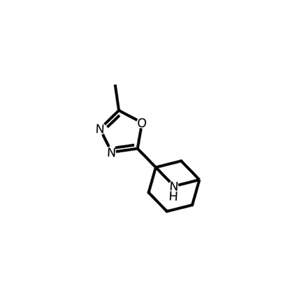 Cc1nnc(C23CCCC(C2)N3)o1